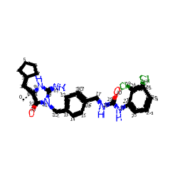 C[C@]1(CC2CCCC2)NC(=N)N(Cc2ccc(CNC(=O)Nc3cccc(Cl)c3Cl)cc2)C1=O